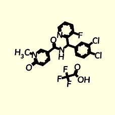 Cn1cc(C(=O)NC(c2ccc(Cl)c(Cl)c2)c2ncccc2F)ccc1=O.O=C(O)C(F)(F)F